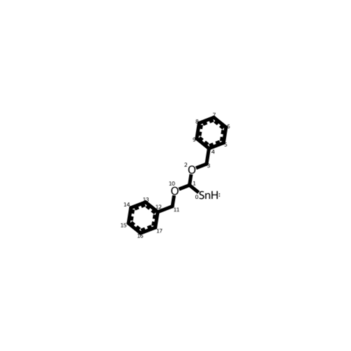 [SnH][CH](OCc1ccccc1)OCc1ccccc1